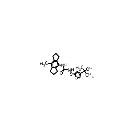 Cc1c2c(c(NC(=O)NSc3cc(C(C)(C)O)co3)c3c1CCC3)CCC2